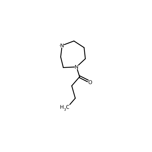 CCCC(=O)N1CCC[N]CC1